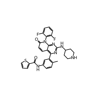 Cc1ccc(NC(=O)c2cccs2)cc1-c1nc(NC2CCNCC2)nc2c1ccc(=O)n2-c1c(F)cccc1F